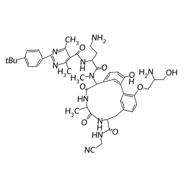 Cc1nc(-c2ccc(C(C)(C)C)cc2)nc(C)c1C(=O)NC(CCN)C(=O)N(C)C1C(=O)NC(C)C(=O)NC(C(=O)NCC#N)Cc2ccc(OCC(N)CO)c(c2)-c2cc1ccc2O